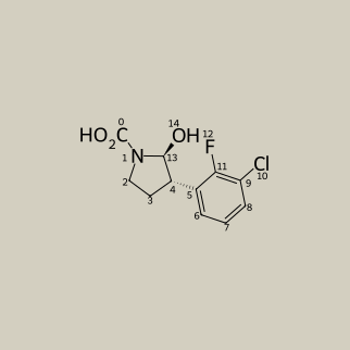 O=C(O)N1CC[C@@H](c2cccc(Cl)c2F)[C@@H]1O